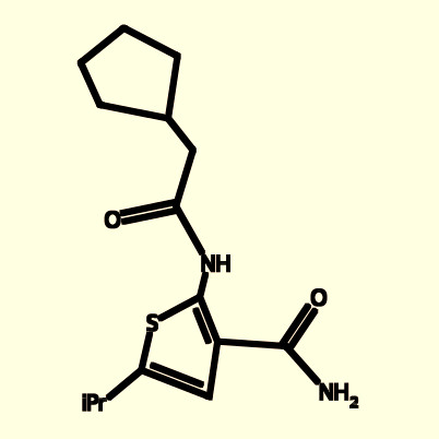 CC(C)c1cc(C(N)=O)c(NC(=O)CC2CCCC2)s1